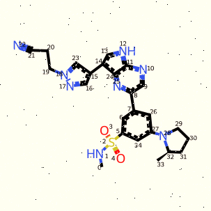 CNS(=O)(=O)c1cc(-c2cnc3[nH]cc(-c4cnn(CCC#N)c4)c3n2)cc(N2CCC[C@H]2C)c1